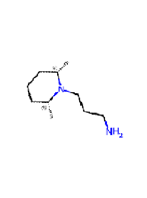 C[C@@H]1CCC[C@H](C)N1CCCN